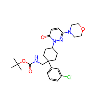 CC(C)(C)OC(=O)NCC1(c2cccc(Cl)c2)CCC(n2nc(N3CCOCC3)ccc2=O)CC1